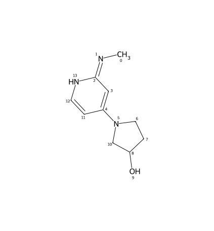 CN=c1cc(N2CCC(O)C2)cc[nH]1